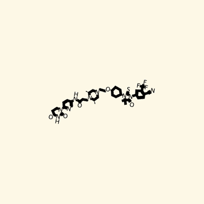 C[C@@H]1CN(CCO[C@H]2CC[C@H](N3C(=S)N(c4ccc(C#N)c(C(F)(F)F)c4)C(=O)C3(C)C)CC2)C[C@H](C)N1CCC(=O)Nc1ccc(N2CCC(=O)NC2=O)nc1